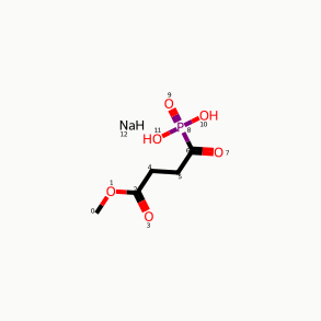 COC(=O)CCC(=O)P(=O)(O)O.[NaH]